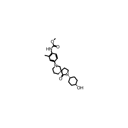 COC(=O)Nc1ccc(N2CCC[C@]3(CCN([C@H]4CC[C@H](O)CC4)C3=O)C2)cc1C